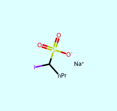 CCCC(I)S(=O)(=O)[O-].[Na+]